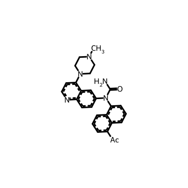 CC(=O)c1cccc2c(N(C(N)=O)c3ccc4nccc(N5CCN(C)CC5)c4c3)cccc12